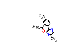 COC(=O)c1cc([N+](=O)[O-])ccc1-c1cnc(C)cn1